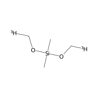 [3H]CO[Si](C)(C)OC[3H]